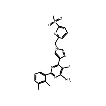 Cc1cccc(-c2nc(N)c(F)c(-c3cn(Cc4cccc(S(C)(=O)=O)n4)nn3)n2)c1C